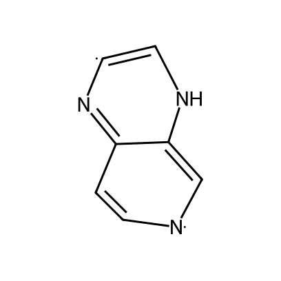 [C]1=CNC2=C[N]C=CC2=N1